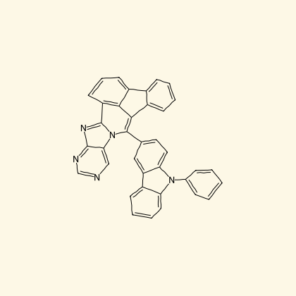 c1ccc(-n2c3ccccc3c3cc(-c4c5c6ccccc6c6cccc(c65)c5nc6ncncc6n45)ccc32)cc1